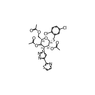 CC(=O)OC[C@H]1O[C@H](Sc2cc(Cl)ccc2Cl)[C@H](OC(C)=O)[C@@H](n2cc(-c3nccs3)nn2)[C@H]1OC(C)=O